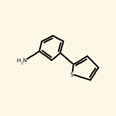 Nc1cccc(-c2[c]ccs2)c1